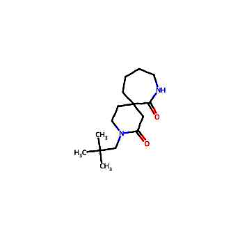 CC(C)(C)CN1CCC2(CCCCNC2=O)CC1=O